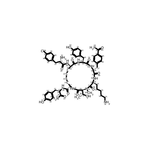 C[C@@H](O)[C@H]1C(=O)N[C@H](C(=O)N[C@H](Cc2ccc(O)cc2)C(N)=O)CSSC[C@@H](NC(=O)[C@@H](N)Cc2ccc(Cl)cc2)C(=O)N[C@@H](Cc2ccc(O)cc2)C(=O)N[C@H](Cc2ccc(C(N)=O)cc2)C(=O)N[C@@H](CCCCCN)C(=O)N1C